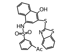 CC(=O)c1cccc(S(=O)(=O)Nc2cc(Sc3nc4ccccc4s3)c(O)c3ccccc23)c1